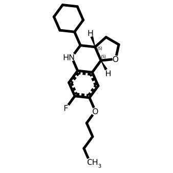 CCCCOc1cc2c(cc1F)NC(C1CCCCC1)[C@@H]1CCO[C@H]21